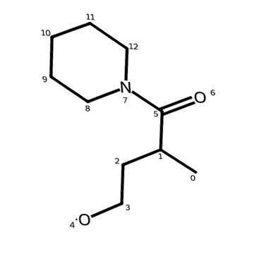 CC(CC[O])C(=O)N1CCCCC1